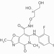 Cc1nc2c(=O)n(C)c(Nc3ccc(I)cc3F)c(C(=O)NOC[C@H](O)CO)c2o1